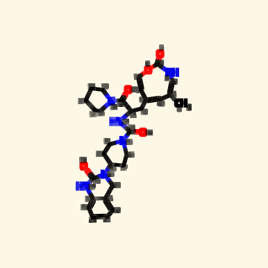 Cc1c[nH]c(=O)occc(CC(NC(=O)N2CCC(N3Cc4ccccc4NC3=O)CC2)C(=O)N2CCCCC2)c1